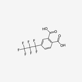 O=C(O)c1ccc(C(F)(F)C(F)(F)C(F)(F)F)cc1C(=O)O